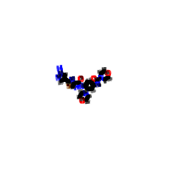 O=C(Nc1cc2oc(N3CCOCC3)nc2cc1N1CCOCC1)c1csc(-c2cn[nH]c2)n1